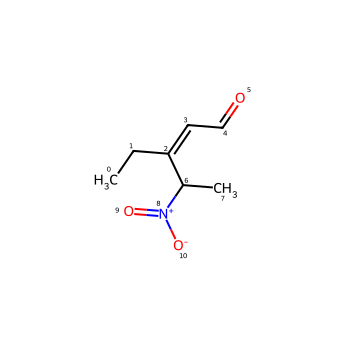 CCC(=CC=O)C(C)[N+](=O)[O-]